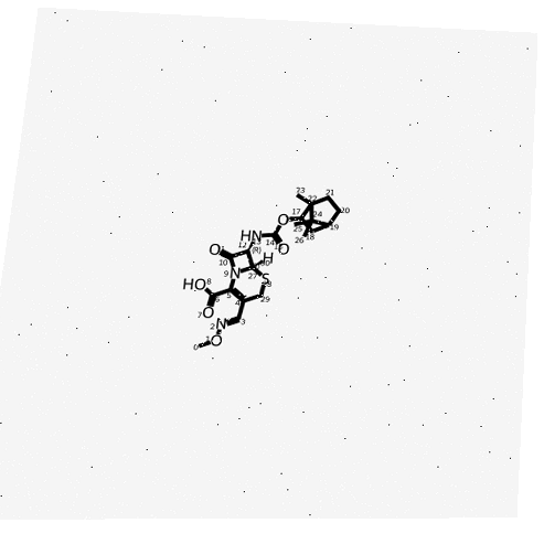 CON=CC1=C(C(=O)O)N2C(=O)[C@@H](NC(=O)OC3CC4CCC3(C)C4(C)C)[C@@H]2SC1